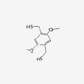 COc1cc(CS)c(OC)cc1CS